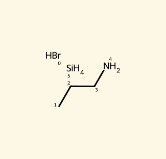 Br.CCCN.[SiH4]